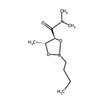 CCCCB1O[C@H](C(=O)N(C)C)[C@@H](C)O1